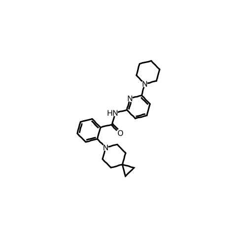 O=C(Nc1cccc(N2CCCCC2)n1)c1ccccc1N1CCC2(CC1)CC2